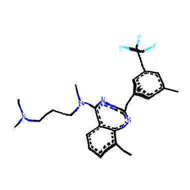 Cc1cc(-c2nc(N(C)CCCN(C)C)c3cccc(C)c3n2)cc(C(F)(F)F)c1